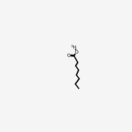 [2H]OC(=O)CCCCCCC